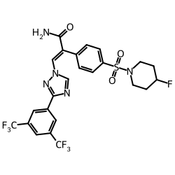 NC(=O)/C(=C/n1cnc(-c2cc(C(F)(F)F)cc(C(F)(F)F)c2)n1)c1ccc(S(=O)(=O)N2CCC(F)CC2)cc1